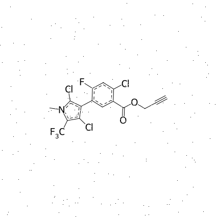 C#CCOC(=O)c1cc(-c2c(Cl)c(C(F)(F)F)n(C)c2Cl)c(F)cc1Cl